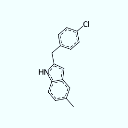 Cc1ccc2[nH]c(Cc3ccc(Cl)cc3)cc2c1